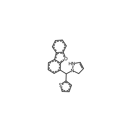 C1=CNN(C(c2cccs2)c2cccc3c2oc2ccccc23)C1